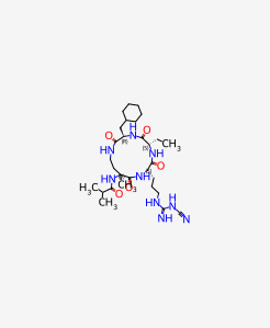 CC[C@@H]1NC(=O)[C@H](CCCNC(=N)NC#N)NC(=O)[C@](C)(NC(=O)C(C)C)CCNC(=O)[C@@H](CC2CCCCC2)NC1=O